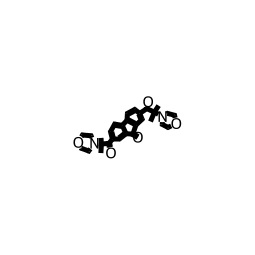 CC(C)(C(=O)c1ccc2c(c1)C(=O)c1cc(C(=O)C(C)(C)N3CCOCC3)ccc1-2)N1CCOCC1